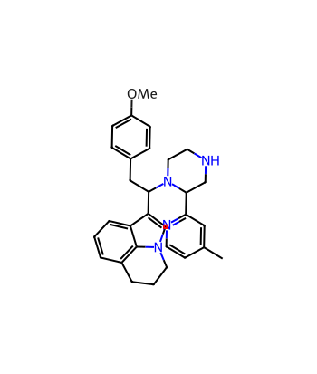 COc1ccc(CC(c2cn3c4c(cccc24)CCC3)N2CCNCC2c2cc(C)ccn2)cc1